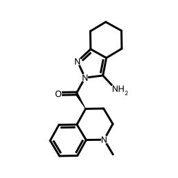 CN1CC[C@H](C(=O)n2nc3c(c2N)CCCC3)c2ccccc21